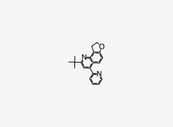 CC(C)(C)c1cc(-c2ccccn2)c2ccc3c(c2n1)CCO3